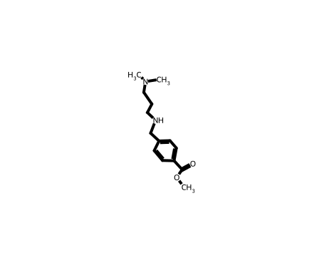 COC(=O)c1ccc(CNCCCN(C)C)cc1